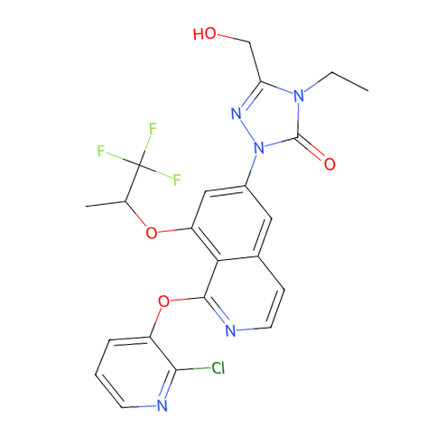 CCn1c(CO)nn(-c2cc(OC(C)C(F)(F)F)c3c(Oc4cccnc4Cl)nccc3c2)c1=O